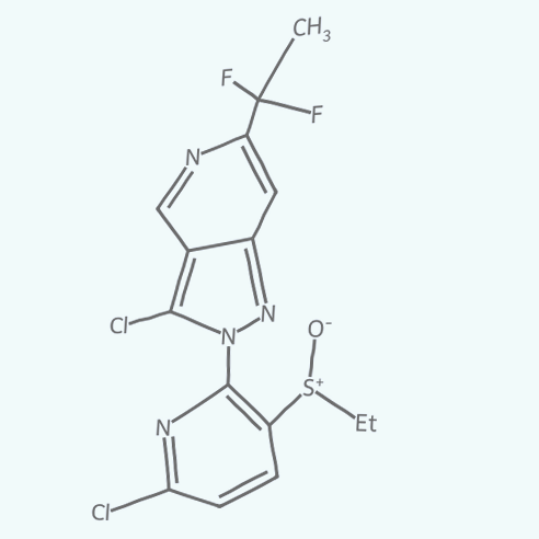 CC[S+]([O-])c1ccc(Cl)nc1-n1nc2cc(C(C)(F)F)ncc2c1Cl